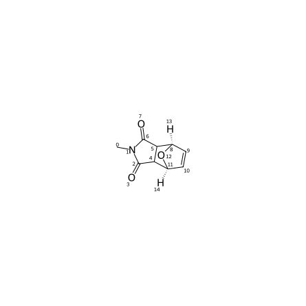 CN1C(=O)C2C(C1=O)[C@H]1C=C[C@@H]2O1